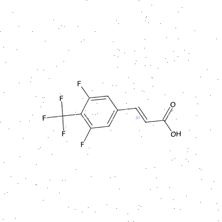 O=C(O)/C=C/c1cc(F)c(C(F)(F)F)c(F)c1